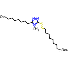 CCCCCCCCCCCCCCCCCCSSc1nnc(CCCCCCCCCCCCCCCCC)n1C